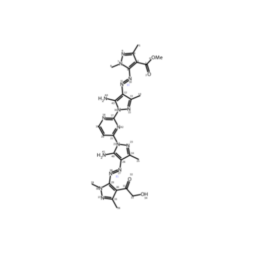 COC(=O)c1c(C)nn(C)c1/N=N/c1c(C)nn(-c2nccc(-n3nc(C)c(/N=N/c4c(C(=O)CO)c(C)nn4C)c3N)n2)c1N